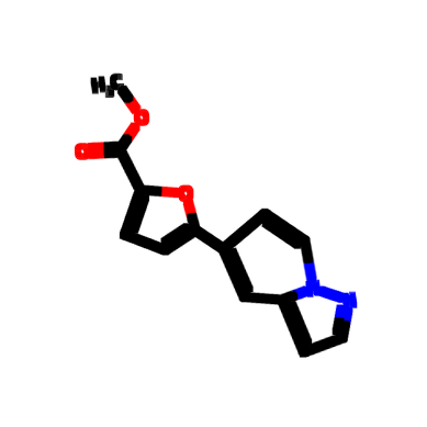 COC(=O)c1ccc(-c2ccn3nccc3c2)o1